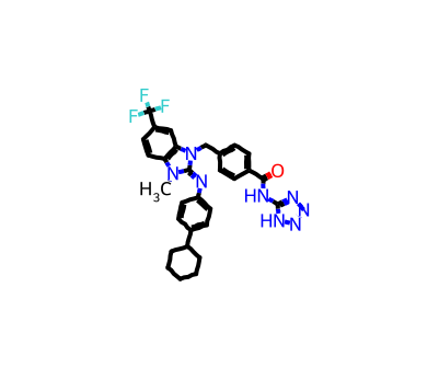 Cn1c(=Nc2ccc(C3CCCCC3)cc2)n(Cc2ccc(C(=O)Nc3nnn[nH]3)cc2)c2cc(C(F)(F)F)ccc21